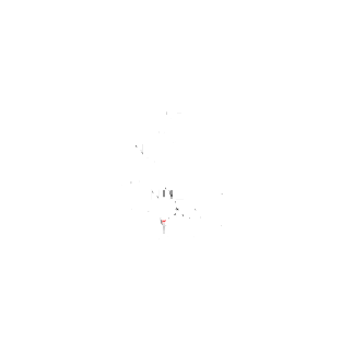 NC(=O)C12CC3CC(C1)C(NC(=O)C1(NC(=O)c4ccc(C(F)(F)F)cn4)CC1)C(C3)C2